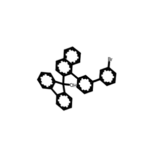 OC1(c2ccc3ccccc3c2-c2cccc(-c3cccc(Br)c3)c2)c2ccccc2-c2ccccc21